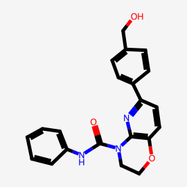 O=C(Nc1ccccc1)N1CCOc2ccc(-c3ccc(CO)cc3)nc21